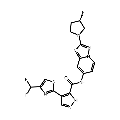 O=C(Nc1ccn2nc(N3CC[C@@H](F)C3)nc2c1)c1[nH]ncc1-c1nc(C(F)F)cs1